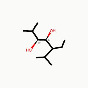 CCC(C(C)C)[C@H](O)[C@@H](O)C(C)C